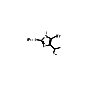 CCCC(C)c1nc(C(C)C(C)C)c(C(C)C)[nH]1